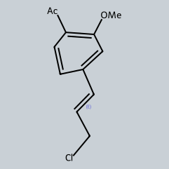 COc1cc(/C=C/CCl)ccc1C(C)=O